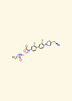 CC(=O)NC[C@H]1CN(c2ccc(-c3ccc(N4CC=C(CC#N)CC4)c(F)c3)c(F)c2)C(=O)O1